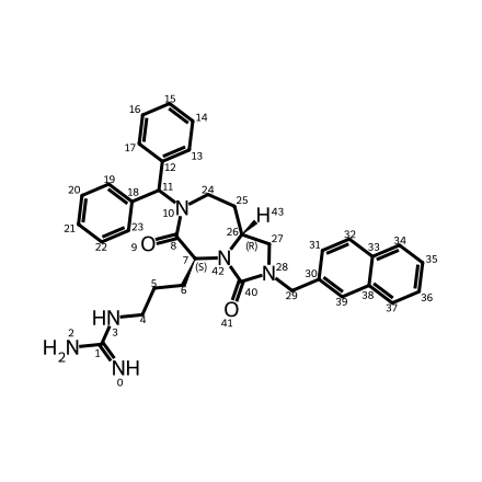 N=C(N)NCCC[C@H]1C(=O)N(C(c2ccccc2)c2ccccc2)CC[C@@H]2CN(Cc3ccc4ccccc4c3)C(=O)N21